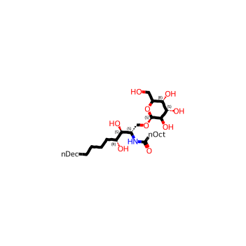 CCCCCCCCCCCCCC[C@@H](O)[C@@H](O)[C@H](CO[C@H]1OC(CO)[C@H](O)[C@H](O)C1O)NC(=O)CCCCCCCC